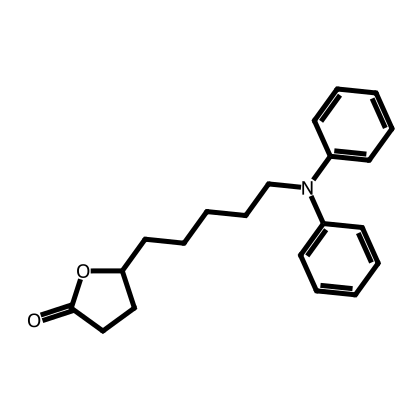 O=C1CCC(CCCCCN(c2ccccc2)c2ccccc2)O1